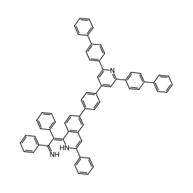 N=C(/C(=C1\NC(c2ccccc2)=Cc2cc(-c3ccc(-c4cc(-c5ccc(-c6ccccc6)cc5)nc(-c5ccc(-c6ccccc6)cc5)c4)cc3)ccc21)c1ccccc1)c1ccccc1